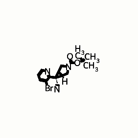 CC(C)(C)OC(=O)N1CC2[C@H](C1)[C@@]2(C#N)c1ncccc1Br